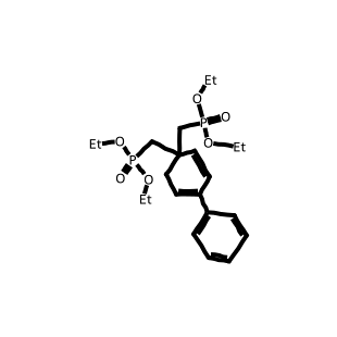 CCOP(=O)(CC1(CP(=O)(OCC)OCC)C=CC(c2ccccc2)=CC1)OCC